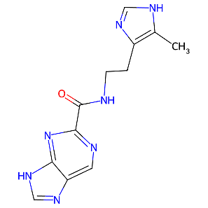 Cc1[nH]cnc1CCNC(=O)c1ncc2nc[nH]c2n1